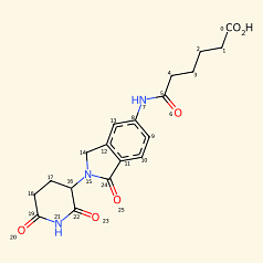 O=C(O)CCCCC(=O)Nc1ccc2c(c1)CN(C1CCC(=O)NC1=O)C2=O